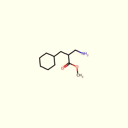 COC(=O)C(CN)CC1CCCCC1